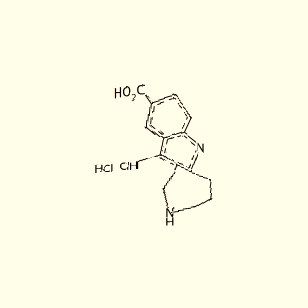 Cc1c2c(nc3ccc(C(=O)O)cc13)CCCNC2.Cl.Cl